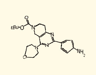 CC(C)(C)OC(=O)N1CCc2nc(-c3ccc(N)cc3)nc(N3CCOCC3)c2C1